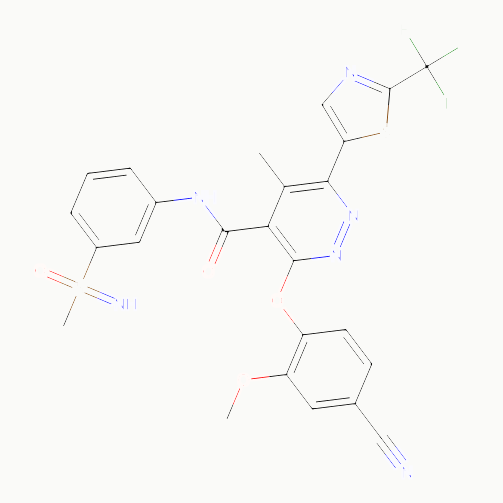 COc1cc(C#N)ccc1Oc1nnc(-c2cnc(C(F)(F)F)s2)c(C)c1C(=O)Nc1cccc(S(C)(=N)=O)c1